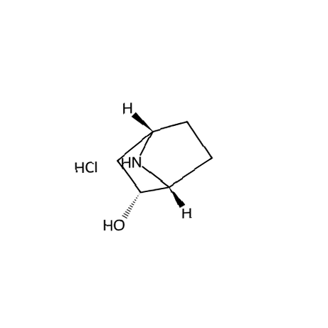 Cl.O[C@@H]1C[C@@H]2CC[C@H]1N2